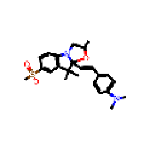 CC1CN2c3ccc(S(C)(=O)=O)cc3C(C)(C)C2(C=Cc2ccc(N(C)C)cc2)O1